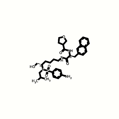 CC(C)CN([C@H](CO)CCCCNC(=O)[C@H](Cc1ccc2ccccc2c1)NC(=O)C1CCOC1)S(=O)(=O)c1ccc(N)cc1